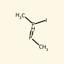 CP=[PH](C)I